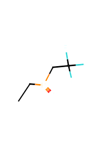 CC[P](=O)CC(F)(F)F